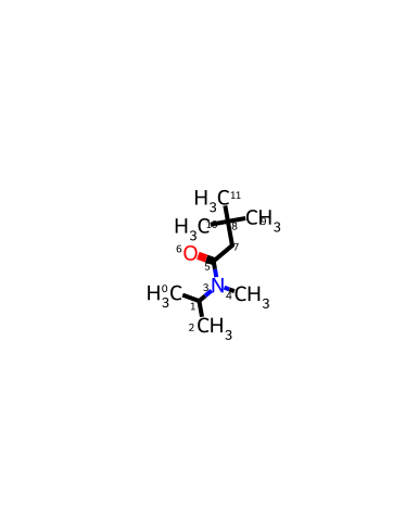 CC(C)N(C)C(=O)CC(C)(C)C